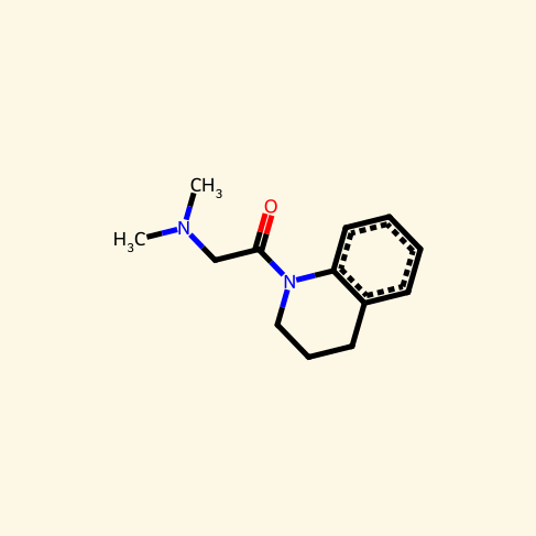 CN(C)CC(=O)N1CCCc2ccccc21